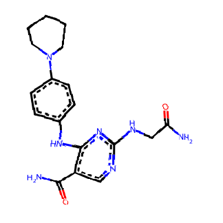 NC(=O)CNc1ncc(C(N)=O)c(Nc2ccc(N3CCCCC3)cc2)n1